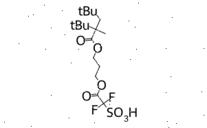 CC(C)(C)CC(C)(C(=O)OCCCOC(=O)C(F)(F)S(=O)(=O)O)C(C)(C)C